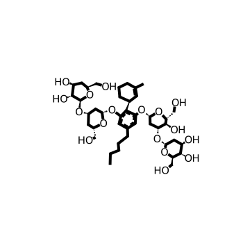 CCCCCc1cc(O[C@H]2C[C@@H](O[C@@H]3O[C@H](CO)C[C@H](O)[C@H]3O)C[C@@H](CO)O2)c([C@@H]2C=C(C)CCC2)c(O[C@H]2C[C@@H](O[C@@H]3C[C@@H](O)[C@H](O)[C@@H](CO)O3)[C@H](O)[C@@H](CO)O2)c1